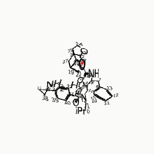 CC(C)CN(C[C@@H](O)[C@H](Cc1ccccc1)NC(=O)OC1C2COC3OCC1C3C2)S(=O)(=O)c1ccc(C2(N)CC2)cc1